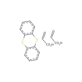 C=CC(=O)O.C=CC(=O)O.c1ccc2c(c1)Sc1ccccc1S2